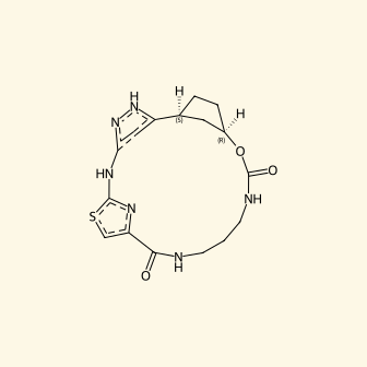 O=C1NCCCNC(=O)c2csc(n2)Nc2cc([nH]n2)[C@H]2CC[C@H](C2)O1